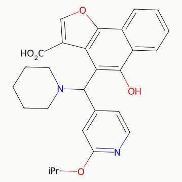 CC(C)Oc1cc(C(c2c(O)c3ccccc3c3occ(C(=O)O)c23)N2CCCCC2)ccn1